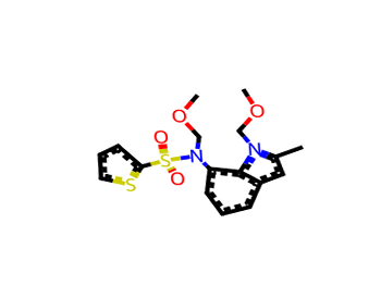 COCN(c1cccc2cc(C)n(COC)c12)S(=O)(=O)c1cccs1